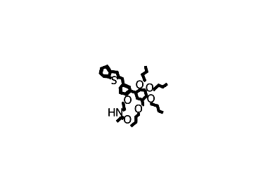 CCCCOCC1CC(c2cc(CC3Cc4ccccc4S3)ccc2OCCNC(C)=O)[C@H](OCCCC)C(OCCCC)[C@@H]1OCCCC